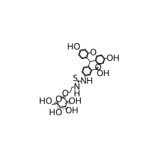 O=C(O)c1cc(NC(=S)NCCO[C@@H]2O[C@H](CO)[C@@H](O)[C@H](O)[C@H]2O)ccc1C1c2ccc(O)cc2Oc2cc(O)ccc21